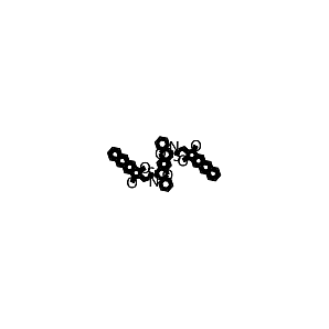 O=C1C(=Cc2nc3c(s2)-c2cc4c(cc2OC32CCCCC2)-c2sc(C=C3C(=O)c5cc6cc7ccccc7cc6cc5C3=O)nc2C2(CCCCC2)O4)C(=O)c2cc3cc4ccccc4cc3cc21